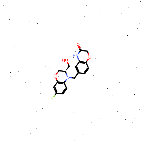 O=C1COc2ccc(CN3c4ccc(F)cc4OC[C@H]3CO)cc2N1